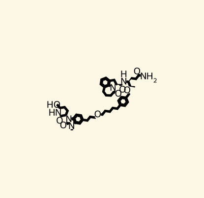 C[C@@H](OCc1ccc(CCCCCOCCCc2ccc3c(c2)n(C)c(=O)n3C2CCC(O)NC2=O)cc1)[C@H](CCC(N)=O)NC(=O)[C@@H]1Cc2cccc3c2N1C(=O)CCC3